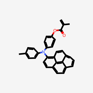 C=C(C)C(=O)Oc1ccc(N(c2ccc(C)cc2)c2ccc3ccc4cccc5ccc2c3c45)cc1